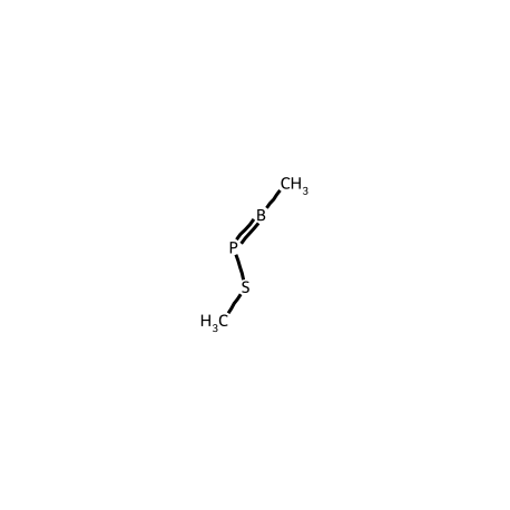 CB=PSC